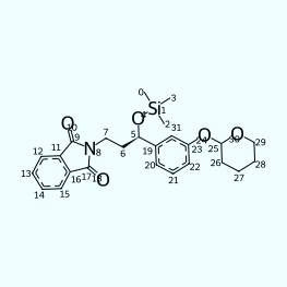 C[Si](C)(C)O[C@H](CCN1C(=O)c2ccccc2C1=O)c1cccc(OC2CCCCO2)c1